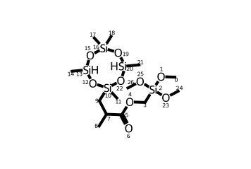 CO[Si](COC(=O)C(C)C[Si]1(C)O[SiH](C)O[Si](C)(C)O[SiH](C)O1)(OC)OC